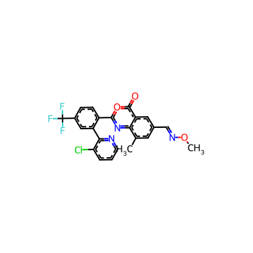 CON=Cc1cc(C)c2nc(-c3ccc(C(F)(F)F)cc3-c3ncccc3Cl)oc(=O)c2c1